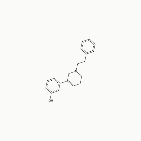 Oc1cccc(C2=CCCN(CCc3ccccc3)C2)c1